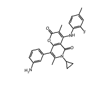 Cc1ccc(Nc2c(C)c(=O)oc3c(-c4cccc(N)c4)c(C)n(C4CC4)c(=O)c23)c(F)c1